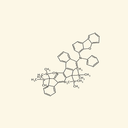 C[Si](C)(C)C1([Si](C)(C)C)c2ccccc2-c2cc3c(cc21)-c1c(cc(N(c2ccccc2)c2cccc4c2oc2ccccc24)c2ccccc12)C3([Si](C)(C)C)[Si](C)(C)C